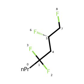 [CH2]CCC(F)(F)C[C@H](F)CF